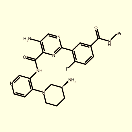 CC(C)NC(=O)c1ccc(F)c(-c2ncc(N)c(C(=O)Nc3cnccc3N3CCC[C@H](N)C3)n2)c1